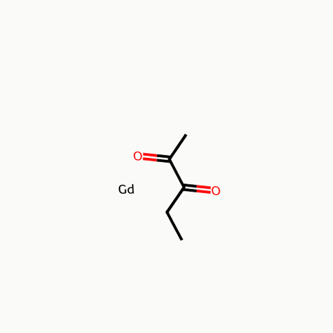 CCC(=O)C(C)=O.[Gd]